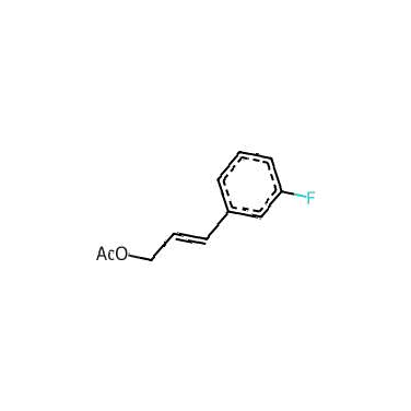 CC(=O)OC/C=C/c1cccc(F)c1